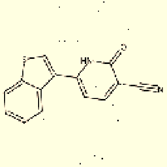 N#Cc1ccc(-c2csc3ccccc23)[nH]c1=O